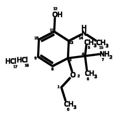 CCOC1(C(C)(C)N)C=CC=C(O)C1NC.Cl.Cl